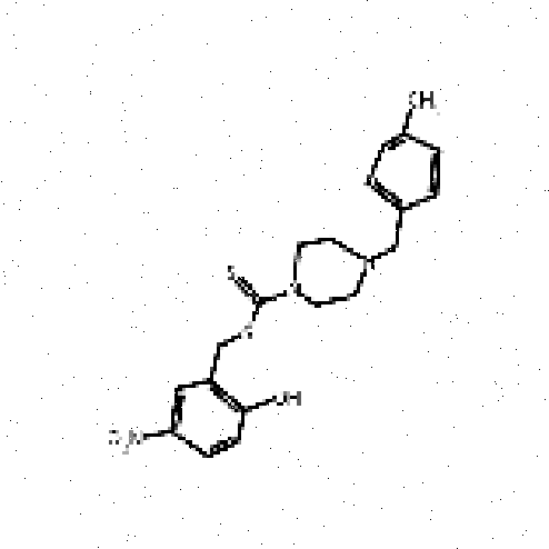 Cc1ccc(CN2CCN(C(=S)SCc3cc([N+](=O)[O-])ccc3O)CC2)cc1